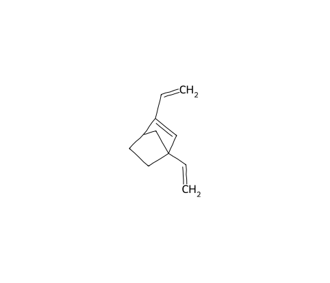 C=CC1=CC2(C=C)CCC1C2